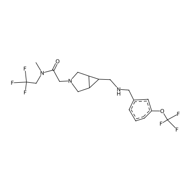 CN(CC(F)(F)F)C(=O)CN1CC2C(CNCc3cccc(OC(F)(F)F)c3)C2C1